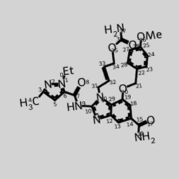 CCn1nc(C)cc1C(=O)Nc1nc2cc(C(N)=O)cc(OCc3ccc(OC)cc3)c2n1CC=CCOC(N)=O